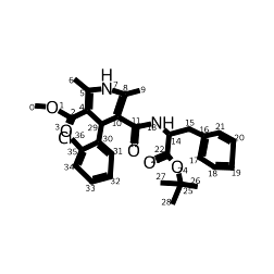 COC(=O)C1=C(C)NC(C)=C(C(=O)NC(Cc2ccccc2)C(=O)OC(C)(C)C)C1c1ccccc1Cl